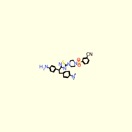 CN(C)c1ccc(CC(c2ccc(N)cc2)c2nsc(N3CCN(S(=O)(=O)c4cccc(C#N)c4)CC3)n2)cc1